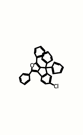 Clc1ccc2c(c1)C(c1ccccc1)(c1ccccc1)c1c(-c3ccccc3)oc(-c3ccccc3)c1-2